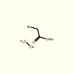 CC#N.COC(=O)CBr